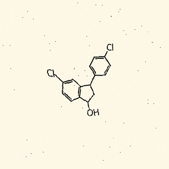 OC1CC(c2ccc(Cl)cc2)c2cc(Cl)ccc21